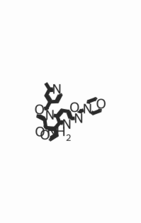 Cc1cc(C2OC=C(C(N)=O)N2c2cc3oc(N4CCOCC4)nc3nc2-c2ccoc2)ccn1